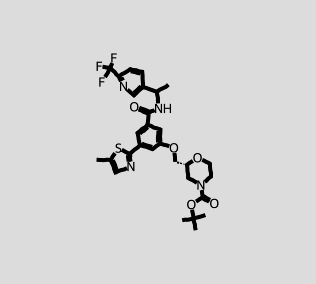 Cc1cnc(-c2cc(OC[C@H]3CN(C(=O)OC(C)(C)C)CCO3)cc(C(=O)NC(C)c3ccc(C(F)(F)F)nc3)c2)s1